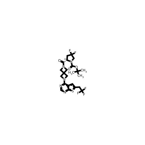 CC(C)(C)OC(=O)N1CC(F)(F)C[C@H]1C(=O)N1CC2(C1)CN(c1ncnc3sc(CC(F)(F)F)cc13)C2